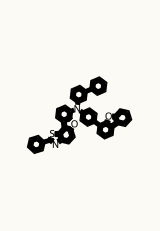 c1ccc(-c2cccc(N(c3ccc(-c4cccc5c4oc4ccccc45)cc3)c3cccc4c3oc3ccc5nc(-c6ccccc6)sc5c34)c2)cc1